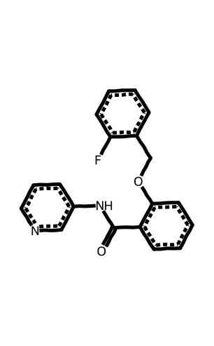 O=C(Nc1cccnc1)c1ccccc1OCc1ccccc1F